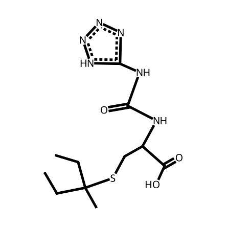 CCC(C)(CC)SCC(NC(=O)Nc1nnn[nH]1)C(=O)O